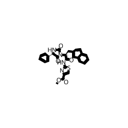 COC(=O)c1csc(NC(=O)[C@H](Cc2ccc3ccccc3c2)N2C(=O)N[C@@H](c3ccccc3)C2=O)n1